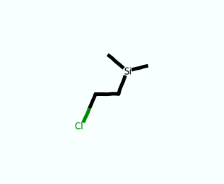 C[Si](C)CCCl